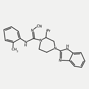 Cc1ccccc1N/C(=N/C#N)N1CCN(c2nc3ccccc3[nH]2)CC1C(C)C